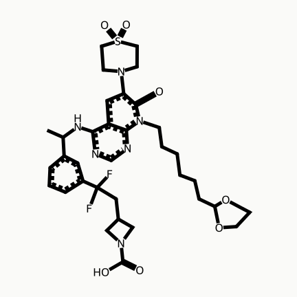 CC(Nc1ncnc2c1cc(N1CCS(=O)(=O)CC1)c(=O)n2CCCCCCC1OCCO1)c1cccc(C(F)(F)CC2CN(C(=O)O)C2)c1